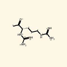 CC(=O)[C@H](CCCNC(=N)N)NC(=N)N